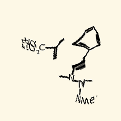 C=C(C)C(=O)OCC.C[N]N(C)N(C)C=Cc1ccccc1.Cl